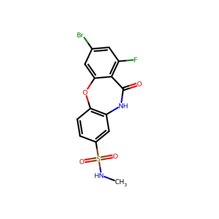 CNS(=O)(=O)c1ccc2c(c1)NC(=O)c1c(F)cc(Br)cc1O2